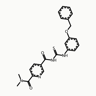 CN(C)C(=O)c1ccc(C(=O)NC(=S)Nc2cccc(OCc3ccccc3)c2)cn1